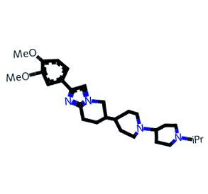 COc1ccc(-c2cn3c(n2)CCC(C2CCN(C4CCN(C(C)C)CC4)CC2)C3)cc1OC